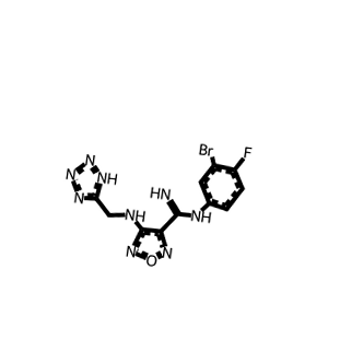 N=C(Nc1ccc(F)c(Br)c1)c1nonc1NCc1nnn[nH]1